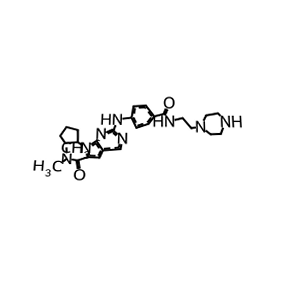 CN(C)C(=O)c1cc2cnc(Nc3ccc(C(=O)NCCN4CCNCC4)cc3)nc2n1C1CCCC1